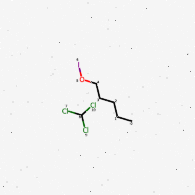 CCCCCOI.ClC(Cl)Cl